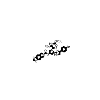 CC(C)(C)OC(=O)NC(C(=O)N1C[C@H](OC(=O)N2Cc3cc4c(cc3C2)OCO4)C[C@H]1c1nc(-c2ccc(Br)cc2)c[nH]1)C(C)(C)C